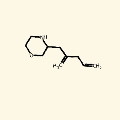 C=CCC(=C)CC1COCCN1